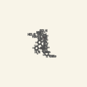 COc1ccc(CN(Cc2ccc(OC)cc2)S(=O)(=O)c2c(N(C(CNC(=O)O)C(NC(=O)O)(C(C)(C)C)C(C)(C)C)[SH](=O)=O)ccc(-c3cccc(N)c3N)c2-c2nnn(Cc3ccc(OC)cc3)n2)cc1